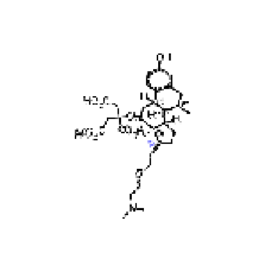 C[C@@H]1Cc2cc(O)ccc2[C@H]2CC[C@]3(C)/C(=C/COCCN(C)C)CC[C@H]3[C@H]12.O=C(O)CC(O)(CC(=O)O)C(=O)O